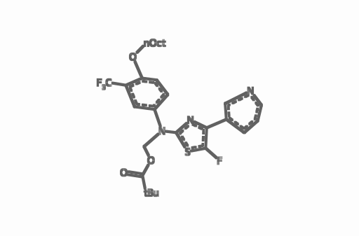 CCCCCCCCOc1ccc(N(COC(=O)C(C)(C)C)c2nc(-c3cccnc3)c(F)s2)cc1C(F)(F)F